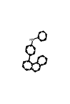 c1ccc(Nc2ccc(-c3cccc4ccc5ccccc5c34)cc2)cc1